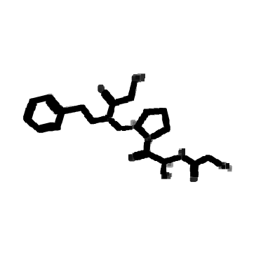 CC(C)[C@H](NC(=O)CN)C(=O)N1CCC[C@H]1CN(CCc1ccccc1)C(=O)CO